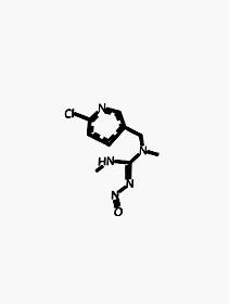 CN/C(=N\N=O)N(C)Cc1ccc(Cl)nc1